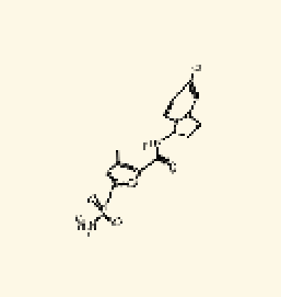 Cc1cc(S(N)(=O)=O)oc1C(=O)NC1CCc2cc(Cl)ccc21